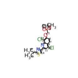 COC(COc1ccc2c(Cl)cc(-c3csc(C(C)C)n3)nc2c1Cl)OC